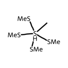 CS[SH](C)(SC)(SC)SC